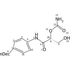 CCCCCCCCCCc1ccc(NC(=O)[C@@H](CO)OC(N)=O)cc1